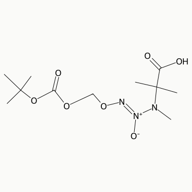 CN([N+]([O-])=NOCOC(=O)OC(C)(C)C)C(C)(C)C(=O)O